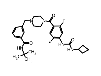 CC(C)(C)NC(=O)c1cccc(CN2CCN(C(=O)c3cc(F)c(NC(=O)NC4CCC4)cc3F)CC2)c1